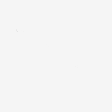 C=C(C)C(=O)OCCOCCOCCCCOCC(C)C